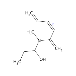 C=C/C=C\C(=C)N(C)C(O)CC